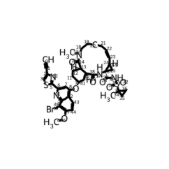 C#Cc1csc(-c2cc(O[C@H]3CC[C@H]4C(=O)N(C)CCCC/C=C\[C@H]5C[C@@]5(C(=O)NS(=O)(=O)C5(C)CC5)NC(=O)[C@@H]4C3)c3ccc(OC)c(Br)c3n2)n1